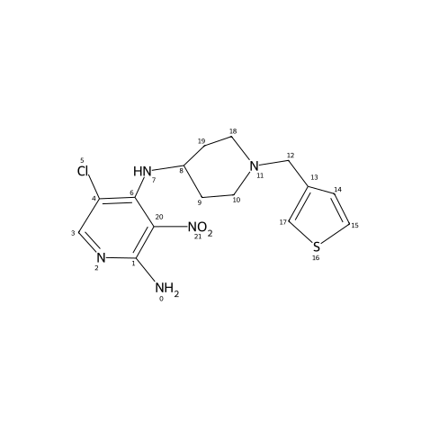 Nc1ncc(Cl)c(NC2CCN(Cc3ccsc3)CC2)c1[N+](=O)[O-]